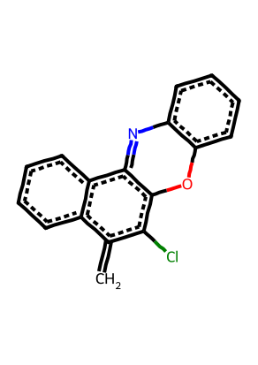 C=c1c(Cl)c2c(c3ccccc13)=Nc1ccccc1O2